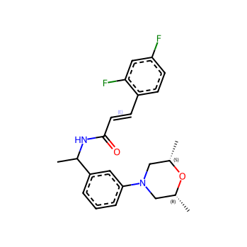 CC(NC(=O)/C=C/c1ccc(F)cc1F)c1cccc(N2C[C@@H](C)O[C@@H](C)C2)c1